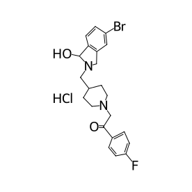 Cl.O=C(CN1CCC(CN2Cc3cc(Br)ccc3C2O)CC1)c1ccc(F)cc1